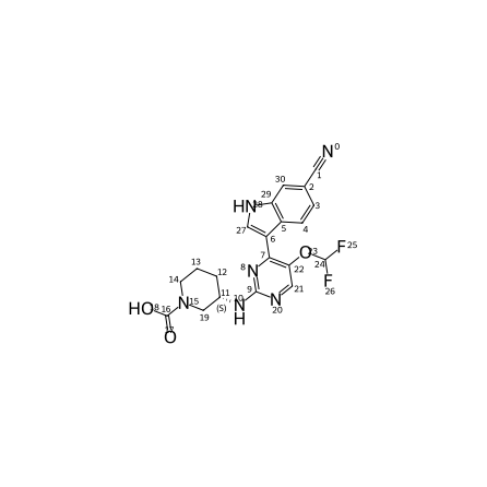 N#Cc1ccc2c(-c3nc(N[C@H]4CCCN(C(=O)O)C4)ncc3OC(F)F)c[nH]c2c1